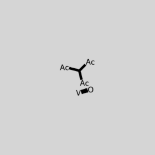 CC(=O)C(C(C)=O)C(C)=O.[O]=[V]